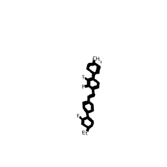 CCC1C=C(F)C(c2ccc(/C=C/C3=CCC(C4C=CC(C)=CC4)C(F)=C3F)cc2)=CC1